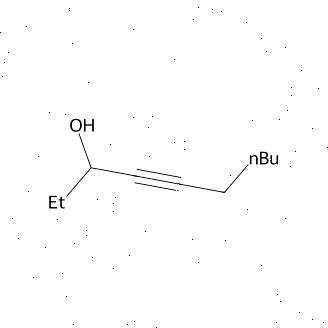 CCCCCC#CC(O)CC